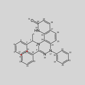 CC(c1ccccc1)N1C(c2ccccc2)=NN(c2ccccc2)c2ccc3ccc(=O)[nH]c3c21